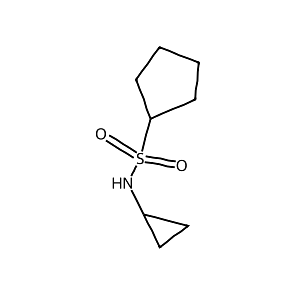 O=S(=O)(NC1CC1)C1CCCC1